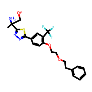 CC(N)(CO)c1nnc(-c2ccc(OCCOCCc3ccccc3)c(C(F)(F)F)c2)s1